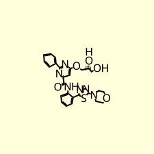 O=C(Nc1ccccc1-c1nnc(N2CCOCC2)s1)c1cc(OC[C@H](O)CO)nc(-c2ccccc2)n1